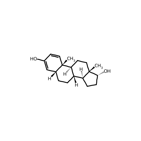 C[C@]12C=CC(O)=C[C@H]1CC[C@@H]1[C@@H]2CC[C@]2(C)[C@H](O)CC[C@@H]12